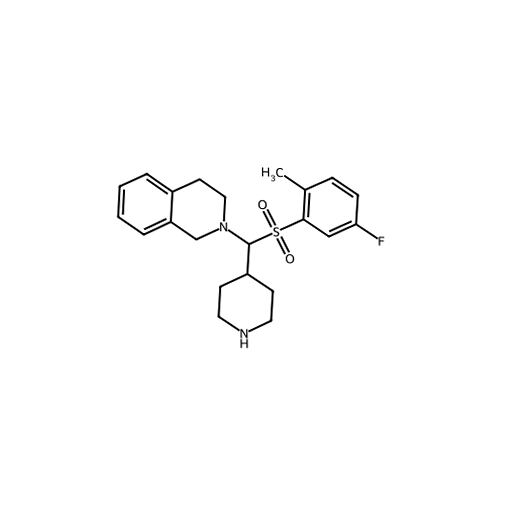 Cc1ccc(F)cc1S(=O)(=O)C(C1CCNCC1)N1CCc2ccccc2C1